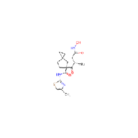 CCCCC(CC(=O)NO)C(=O)C1(C(=O)Nc2nc(C)cs2)CCC2(CC2)C1